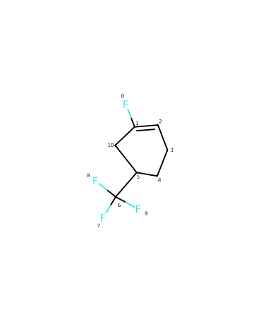 FC1=CCCC(C(F)(F)F)C1